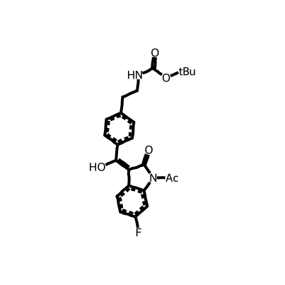 CC(=O)N1C(=O)C(=C(O)c2ccc(CCNC(=O)OC(C)(C)C)cc2)c2ccc(F)cc21